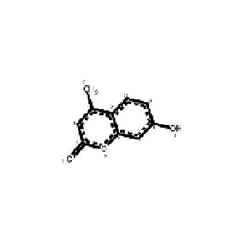 Cc1cc(=O)oc2cc(O)[c]cc12